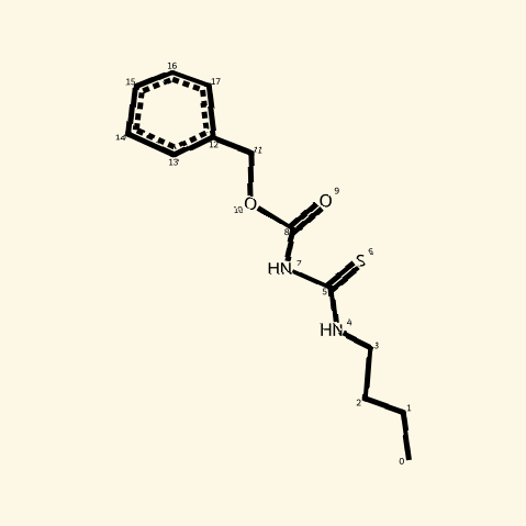 CCCCNC(=S)NC(=O)OCc1ccccc1